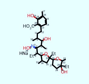 CCC(C(=NO)C(C)C(O)C(C)CCc1ccc(C)c(O)c1C(=O)O)C1OC(CC)(C2CCC(O)(CC)C(C)O2)CC1C.[NaH]